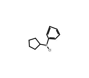 ClP(c1ccccc1)C1CCCC1